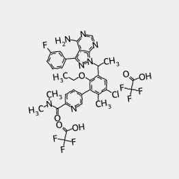 CCOc1c(C(C)n2nc(-c3cccc(F)c3)c3c(N)ncnc32)cc(Cl)c(C)c1-c1ccc(C(=O)N(C)C)nc1.O=C(O)C(F)(F)F.O=C(O)C(F)(F)F